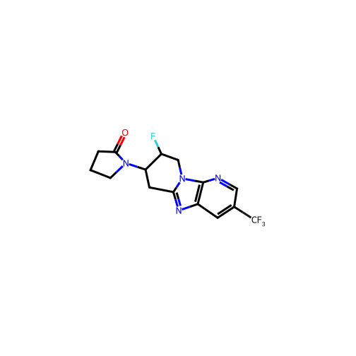 O=C1CCCN1C1Cc2nc3cc(C(F)(F)F)cnc3n2CC1F